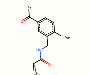 C=CC(=O)NCc1cc(C(=O)CC)ccc1OC